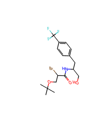 CC(C)(C)OCC(Br)C(=O)NC(CO)Cc1ccc(C(F)(F)F)cc1